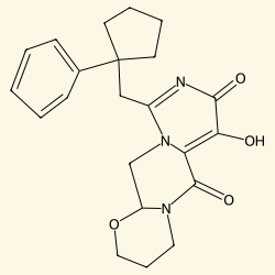 O=C1c2c(O)c(=O)nc(CC3(c4ccccc4)CCCC3)n2CC2OCCCN12